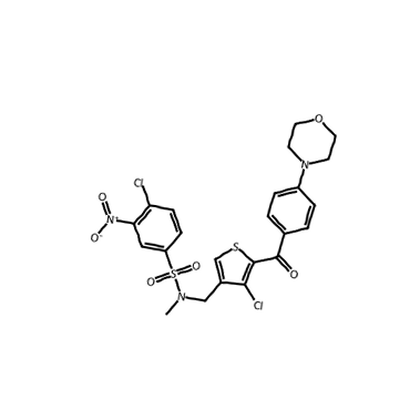 CN(Cc1csc(C(=O)c2ccc(N3CCOCC3)cc2)c1Cl)S(=O)(=O)c1ccc(Cl)c([N+](=O)[O-])c1